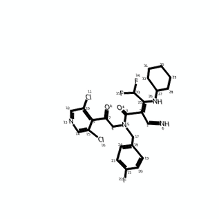 N=C/C(C(=O)N(CC(=O)c1c(Cl)cncc1Cl)Cc1ccc(F)cc1)=C(\NC1CCCCC1)C(F)F